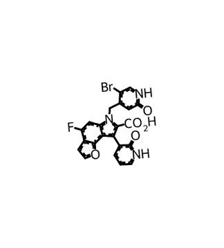 O=C(O)c1c(-c2ccc[nH]c2=O)c2c3occc3c(F)cc2n1Cc1cc(=O)[nH]cc1Br